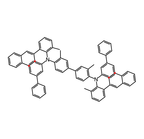 Cc1cc(-c2ccc(N(c3cccc(-c4ccccc4)c3)c3c(C)cccc3-c3ccc4ccccc4c3)c(C)c2)ccc1N(c1cccc(-c2ccccc2)c1)c1c(C)cccc1-c1ccc2ccccc2c1